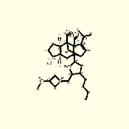 CCCCC1CC(C23C[C@@H]4[C@H](C)CC[C@H]4C4(C=O)CC2C=C(C(C)C)C34C(=O)O)OC1CN1CC(OC)C1